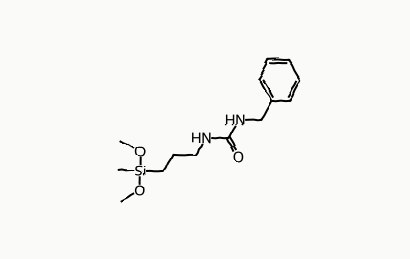 CO[Si](C)(CCCNC(=O)NCc1ccccc1)OC